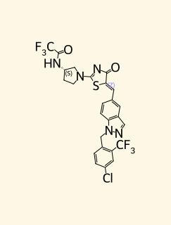 O=C1N=C(N2CC[C@H](NC(=O)C(F)(F)F)C2)S/C1=C\c1ccc2c(cnn2Cc2ccc(Cl)cc2C(F)(F)F)c1